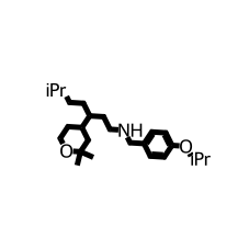 CC(C)CCC(CCNCc1ccc(OC(C)C)cc1)C1CCOC(C)(C)C1